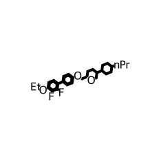 CCCC1CCC(C2CCC(COc3ccc(-c4ccc(OCC)c(F)c4F)cc3)OC2)CC1